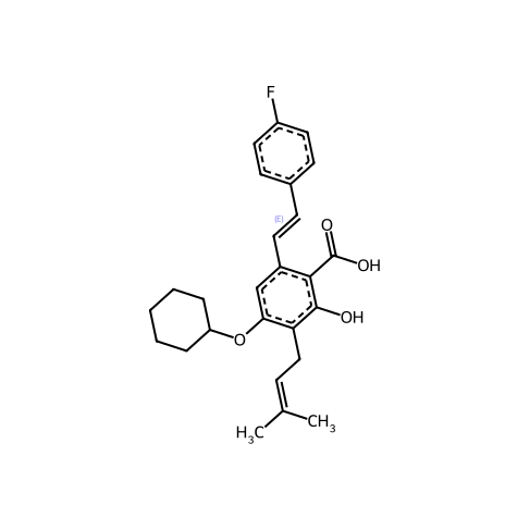 CC(C)=CCc1c(OC2CCCCC2)cc(/C=C/c2ccc(F)cc2)c(C(=O)O)c1O